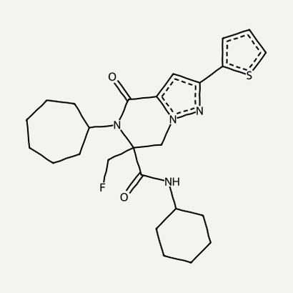 O=C1c2cc(-c3cccs3)nn2CC(CF)(C(=O)NC2CCCCC2)N1C1CCCCCC1